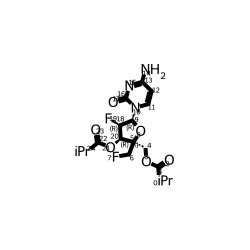 CC(C)C(=O)OC[C@@]1(CF)O[C@@H](n2ccc(N)nc2=O)[C@H](F)[C@@H]1OC(=O)C(C)C